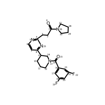 O=C(CCc1nccc(C2CCCN(C(=O)c3cc(F)cc(F)c3)C2)n1)N1CCCC1